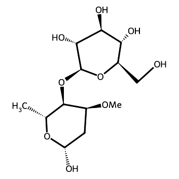 CO[C@H]1C[C@H](O)O[C@H](C)[C@H]1O[C@@H]1O[C@H](CO)[C@@H](O)[C@H](O)[C@H]1O